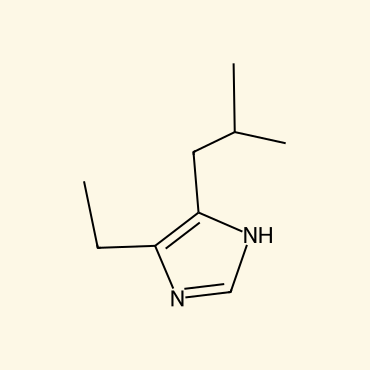 CCc1nc[nH]c1CC(C)C